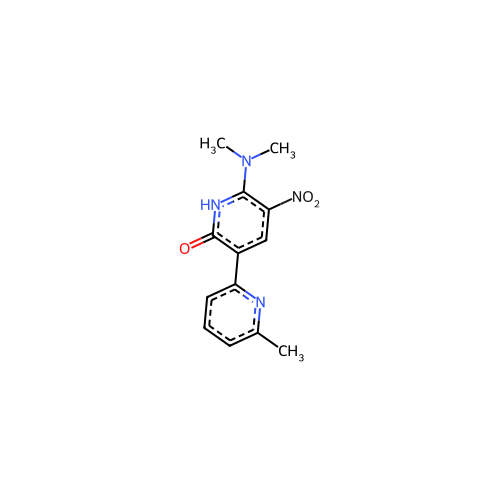 Cc1cccc(-c2cc([N+](=O)[O-])c(N(C)C)[nH]c2=O)n1